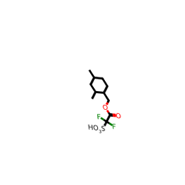 CC1CCC(COC(=O)C(F)(F)S(=O)(=O)O)C(C)C1